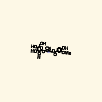 COc1cc(C(=O)OC/C(C#N)=C/CO[C@@H]2O[C@H](CO)[C@@H](O)[C@H](O)[C@H]2O)ccc1O